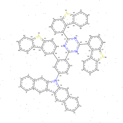 c1ccc2cc3c(cc2c1)c1cc2ccccc2cc1n3-c1ccc(-c2nc(-c3cccc4sc5ccccc5c34)nc(-c3cccc4sc5ccccc5c34)n2)c(-c2ccc3sc4ccccc4c3c2)c1